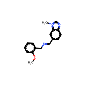 COc1ccccc1CN=Cc1ccc2ncn(C)c2c1